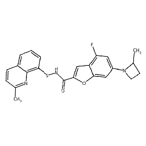 Cc1ccc2cccc(SNC(=O)c3cc4c(F)cc(N5CCC5C)cc4o3)c2n1